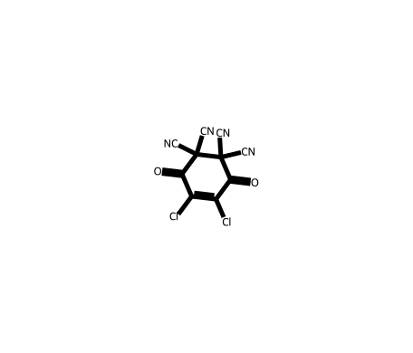 N#CC1(C#N)C(=O)C(Cl)=C(Cl)C(=O)C1(C#N)C#N